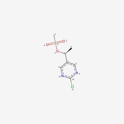 C[C@H](OS(C)(=O)=O)c1cnc(Cl)nc1